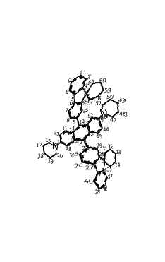 c1ccc2c(c1)-c1ccc(-c3c4ccc(N5CCCCC5)cc4c(-c4ccc5c(c4)C4(CCCCC4)c4ccccc4-5)c4ccc(N5CCCCC5)cc34)cc1C21CCCCC1